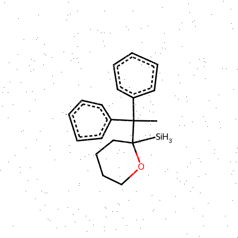 CC(c1cc[c]cc1)(c1ccccc1)C1([SiH3])CCCCO1